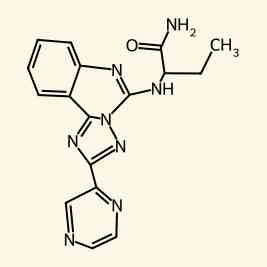 CCC(Nc1nc2ccccc2c2nc(-c3cnccn3)nn12)C(N)=O